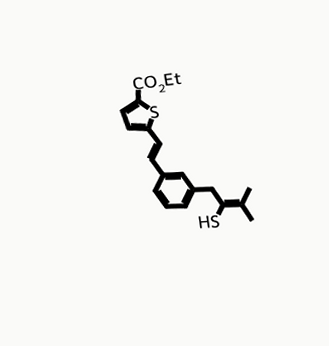 CCOC(=O)c1ccc(C=Cc2cccc(CC(S)=C(C)C)c2)s1